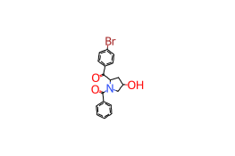 O=C(c1ccc(Br)cc1)C1CC(O)CN1C(=O)c1ccccc1